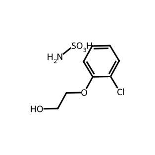 NS(=O)(=O)O.OCCOc1ccccc1Cl